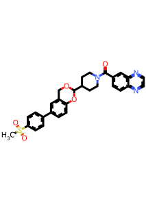 CS(=O)(=O)c1ccc(-c2ccc3c(c2)COC(C2CCN(C(=O)c4ccc5nccnc5c4)CC2)O3)cc1